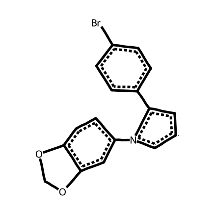 Brc1ccc(-c2c[c]cn2-c2ccc3c(c2)OCO3)cc1